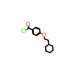 O=C(Cl)c1ccc(OCCC2CCCCC2)cc1